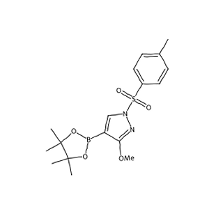 COc1nn(S(=O)(=O)c2ccc(C)cc2)cc1B1OC(C)(C)C(C)(C)O1